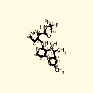 [2H]C([2H])([2H])NC(=O)c1nnccc1Nc1nccc2c1N(C)C(C)c1cc(C)nn1-2